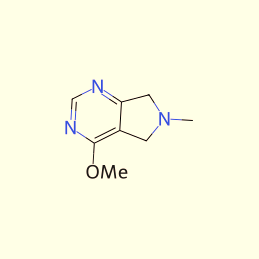 COc1ncnc2c1CN(C)C2